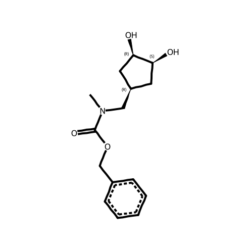 CN(C[C@H]1C[C@@H](O)[C@@H](O)C1)C(=O)OCc1ccccc1